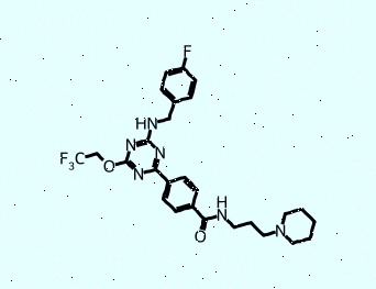 O=C(NCCCN1CCCCC1)c1ccc(-c2nc(NCc3ccc(F)cc3)nc(OCC(F)(F)F)n2)cc1